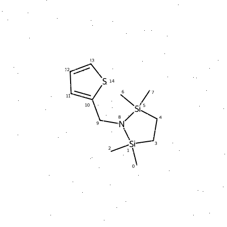 C[Si]1(C)CC[Si](C)(C)N1Cc1cccs1